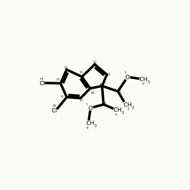 COC(C)C1(C(C)OC)C=Cc2cc(Cl)c(Cl)cc21